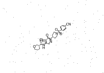 CC(Nc1cnn(C2CCN(S(=O)(=O)c3ccc(C#N)cc3)CC2)c(=O)c1Cl)[C@H]1CCCOC1